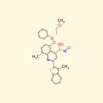 COCC[C@H](Oc1ccc(C)c2nc(-c3sc4ccccc4c3C)cc(C(O)N=O)c12)c1ccccc1